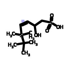 CC(C)(C)[Si](C)(C)/C=C\C(O)CS(=O)(=O)O